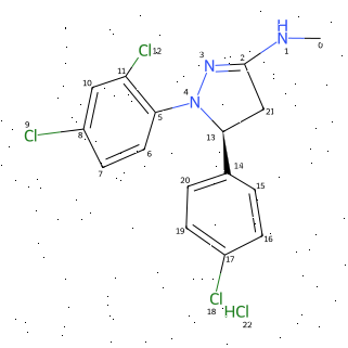 CNC1=NN(c2ccc(Cl)cc2Cl)[C@H](c2ccc(Cl)cc2)C1.Cl